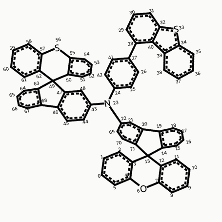 c1ccc2c(c1)Oc1ccccc1C21c2ccccc2-c2cc(N(c3ccc(-c4cccc5sc6ccccc6c45)cc3)c3ccc4c(c3)C3(c5ccccc5Sc5ccccc53)c3ccccc3-4)ccc21